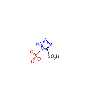 O=S(=O)(O)c1nn[nH][n+]1S(=O)(=O)[O-]